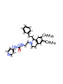 COc1cc2c(cc1OC)C(CCc1ccccc1)N(CCNC(=O)Nc1ccncc1)CC2